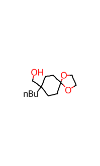 CCCCC1(CO)CCC2(CC1)OCCO2